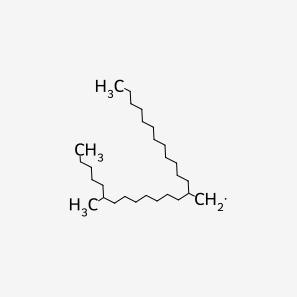 [CH2]C(CCCCCCCCCCCC)CCCCCCCC(C)CCCCC